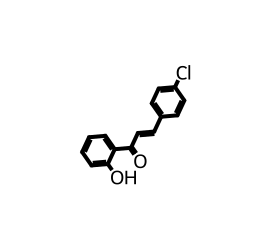 O=C(C=Cc1ccc(Cl)cc1)c1ccccc1O